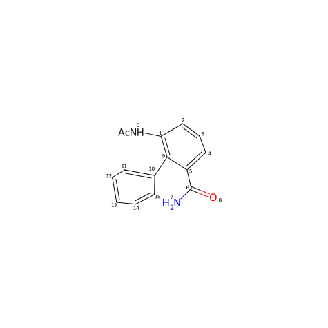 CC(=O)Nc1cccc(C(N)=O)c1-c1ccccc1